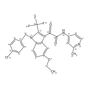 CCOc1ccc2c(c1)c(C(=O)C(=O)Nc1ccnc(C)c1)c(C(F)(F)F)n2Cc1ccc(Cl)cc1